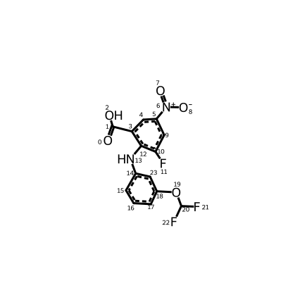 O=C(O)c1cc([N+](=O)[O-])cc(F)c1Nc1cccc(OC(F)F)c1